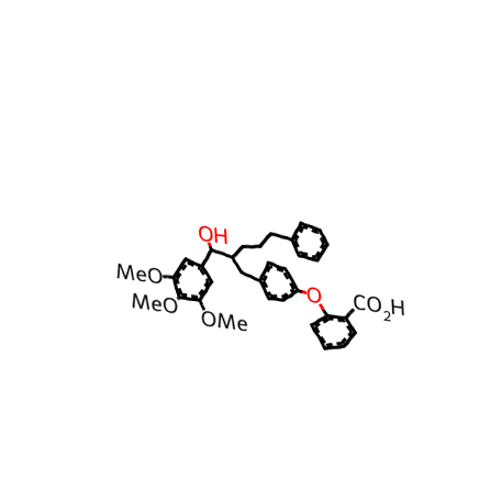 COc1cc(C(O)C(CCCc2ccccc2)Cc2ccc(Oc3ccccc3C(=O)O)cc2)cc(OC)c1OC